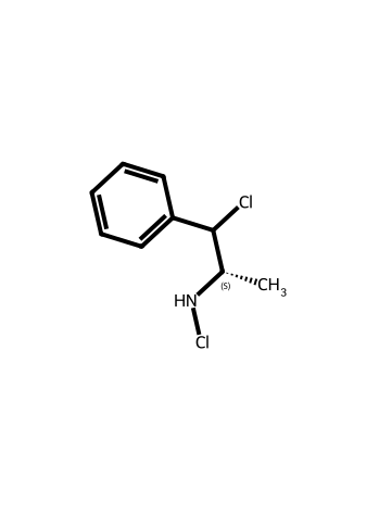 C[C@H](NCl)C(Cl)c1ccccc1